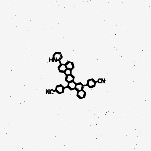 N#Cc1ccc(-c2cc3c4cc5c(cc4c(-c4ccc(C#N)cc4)cc3c3ccccc23)-c2ccc(C3=CC=CCN3)c3cccc-5c23)cc1